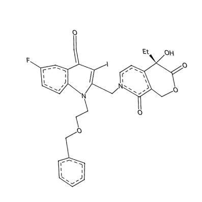 CC[C@@]1(O)C(=O)OCc2c1ccn(CC1=C(I)C(=C=O)c3cc(F)ccc3N1CCOCc1ccccc1)c2=O